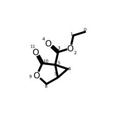 CCOC(=O)C12CC1COC2=O